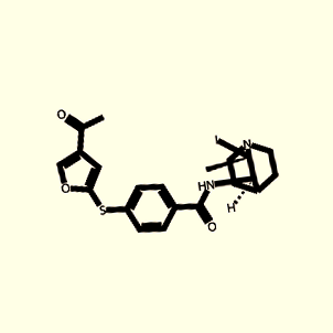 CC(=O)c1coc(Sc2ccc(C(=O)N[C@@H]3C4CCN(CC4)[C@@]3(C)I)cc2)c1